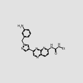 CCNC(=O)Nc1ccc2ncc(-c3cnn(Cc4cccc(N)c4)c3)nc2n1